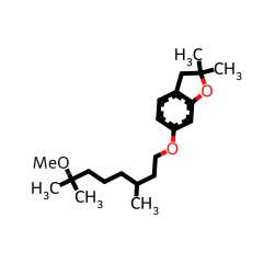 COC(C)(C)CCCC(C)CCOc1ccc2c(c1)OC(C)(C)C2